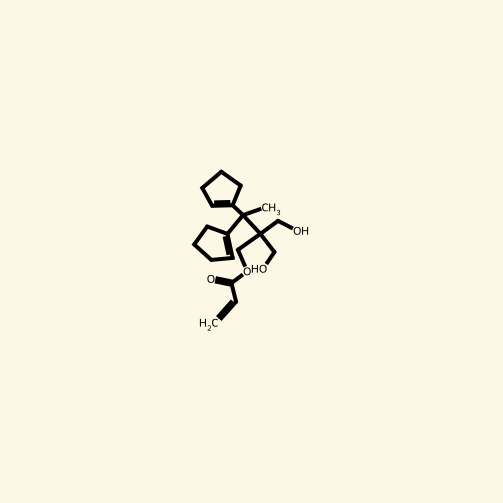 C=CC(=O)OCC(CO)(CO)C(C)(C1=CCCC1)C1=CCCC1